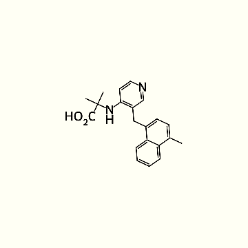 Cc1ccc(Cc2cnccc2NC(C)(C)C(=O)O)c2ccccc12